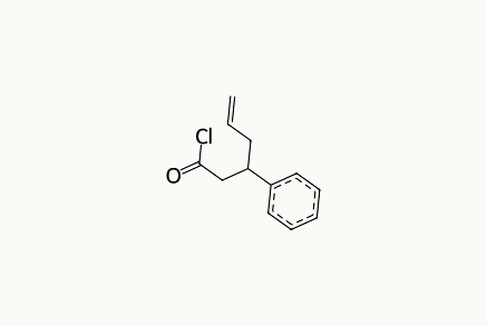 C=CCC(CC(=O)Cl)c1ccccc1